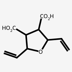 C=CC1OC(C=C)C(C(=O)O)C1C(=O)O